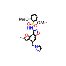 COc1cccc(OC)c1S(=O)(=O)Nc1noc2cc(Cn3cccn3)c3cc(C)oc3c12